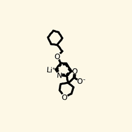 O=C([O-])C1(c2ccc(OCC3CCCCC3)cn2)CCOCC1.[Li+]